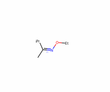 CCO/N=C(/C)C(C)C